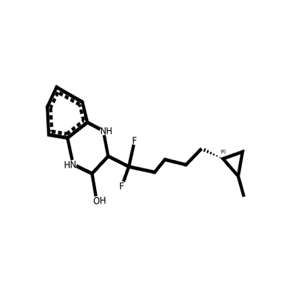 CC1C[C@H]1CCCCC(F)(F)C1Nc2ccccc2NC1O